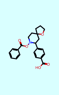 O=C(O)c1ccc(C2CC3(CCCO3)CCN2OC(=O)c2ccccc2)cc1